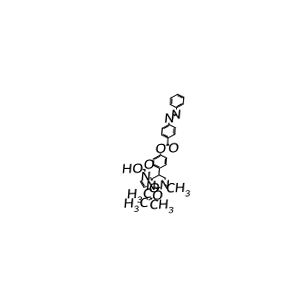 CN(CC(c1ccc(OC(=O)c2ccc(/N=N/c3ccccc3)cc2)cc1)c1nccn1C(=O)O)C(=O)OC(C)(C)C